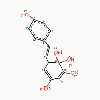 OC1=CC(/C=C/c2ccc(O)cc2)C(O)(O)C(O)=C1